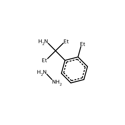 CCc1ccccc1C(N)(CC)CC.NN